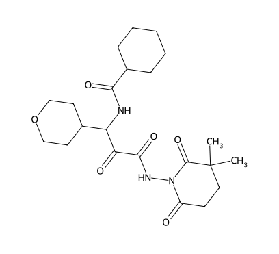 CC1(C)CCC(=O)N(NC(=O)C(=O)C(NC(=O)C2CCCCC2)C2CCOCC2)C1=O